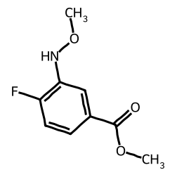 CONc1cc(C(=O)OC)ccc1F